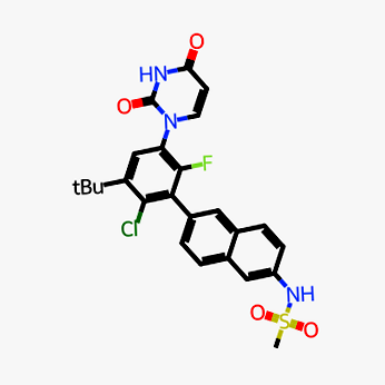 CC(C)(C)c1cc(-n2ccc(=O)[nH]c2=O)c(F)c(-c2ccc3cc(NS(C)(=O)=O)ccc3c2)c1Cl